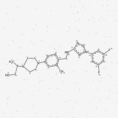 Cc1cc(N2CCN(C(C)CO)CC2)ccc1CNc1ncn(-c2cc(F)cc(F)c2)n1